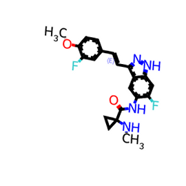 CNC1(C(=O)Nc2cc3c(/C=C/c4ccc(OC)c(F)c4)n[nH]c3cc2F)CC1